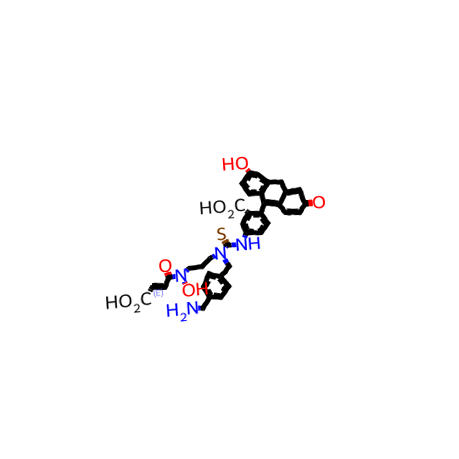 NCc1ccc(CN(CCCN(O)C(=O)/C=C/C(=O)O)C(=S)Nc2ccc(C3=C4C=CC(=O)C=C4Cc4cc(O)ccc43)c(C(=O)O)c2)cc1